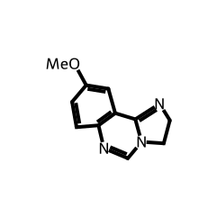 COc1ccc2c(c1)C1=NCCN1C=N2